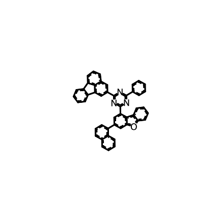 c1ccc(-c2nc(-c3cc4c5c(cccc5c3)-c3ccccc3-4)nc(-c3cc(-c4cccc5ccccc45)cc4oc5ccccc5c34)n2)cc1